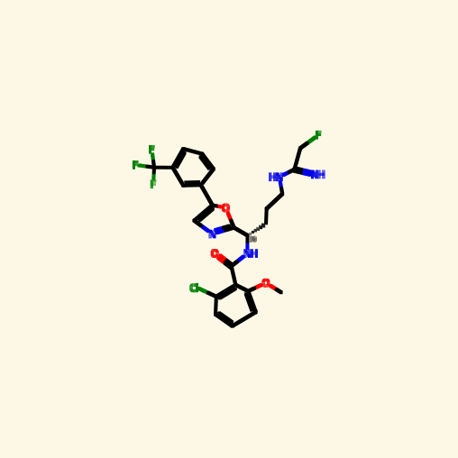 COc1cccc(Cl)c1C(=O)N[C@@H](CCCNC(=N)CF)c1ncc(-c2cccc(C(F)(F)F)c2)o1